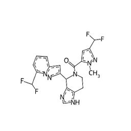 Cn1nc(C(F)F)cc1C(=O)N1CCc2[nH]cnc2C1c1cc2cccc(C(F)F)n2n1